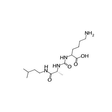 CC(C)CCNC(=O)[C@@H](C)NC(=O)NC(CCCCN)C(=O)O